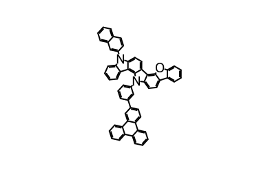 c1cc(-c2ccc3c4ccccc4c4ccccc4c3c2)cc(-n2c3ccc4c5ccccc5oc4c3c3ccc4c(c5ccccc5n4-c4ccc5ccccc5c4)c32)c1